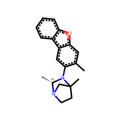 Cc1cc2oc3ccccc3c2cc1N1[C@@H](C)N2CCC1(C)C2